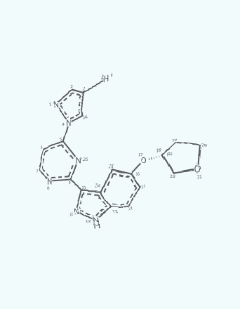 [2H]c1cnn(-c2ccnc(-c3n[nH]c4ccc(O[C@@H]5CCOC5)cc34)n2)c1